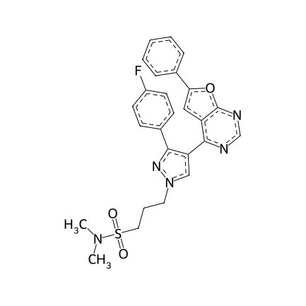 CN(C)S(=O)(=O)CCCn1cc(-c2ncnc3oc(-c4ccccc4)cc23)c(-c2ccc(F)cc2)n1